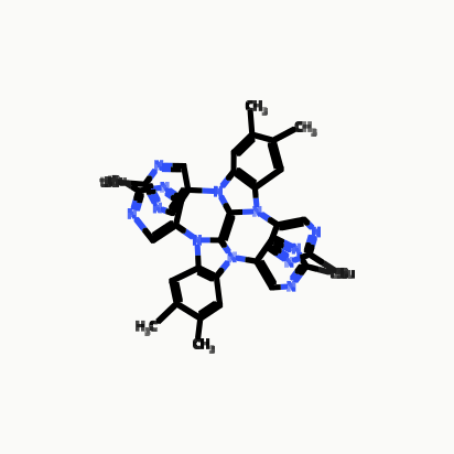 Cc1cc2c(cc1C)N(c1cnc(C(C)(C)C)nc1)C(=C1N(c3cnc(C(C)(C)C)nc3)c3cc(C)c(C)cc3N1c1cnc(C(C)(C)C)nc1)N2c1cnc(C(C)(C)C)nc1